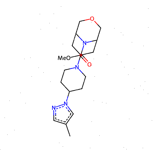 COC(=O)N1C2COCC1CC(N1CCC(n3cc(C)cn3)CC1)C2